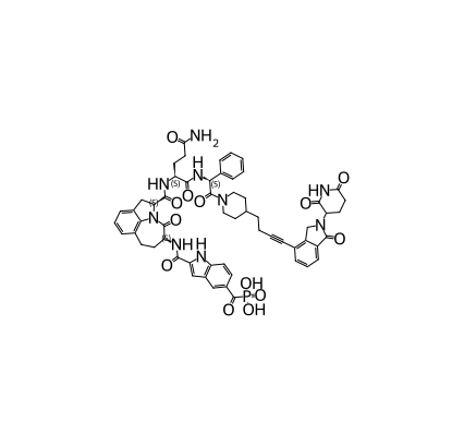 NC(=O)CC[C@H](NC(=O)[C@@H]1Cc2cccc3c2N1C(=O)[C@@H](NC(=O)c1cc2cc(C(=O)P(=O)(O)O)ccc2[nH]1)CC3)C(=O)N[C@H](C(=O)N1CCC(CCC#Cc2cccc3c2CN(C2CCC(=O)NC2=O)C3=O)CC1)c1ccccc1